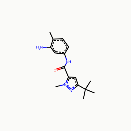 Cc1ccc(NC(=O)c2cc(C(C)(C)C)nn2C)cc1N